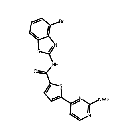 CNc1nccc(-c2ccc(C(=O)Nc3nc4c(Br)cccc4s3)s2)n1